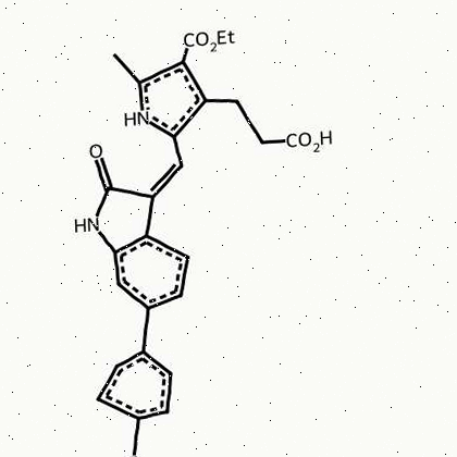 CCOC(=O)c1c(C)[nH]c(C=C2C(=O)Nc3cc(-c4ccc(F)cc4)ccc32)c1CCC(=O)O